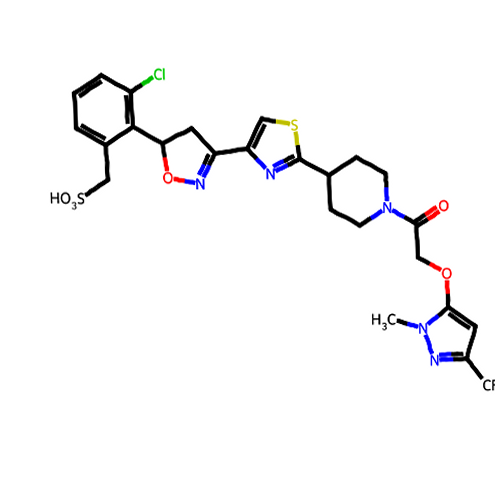 Cn1nc(C(F)(F)F)cc1OCC(=O)N1CCC(c2nc(C3=NOC(c4c(Cl)cccc4CS(=O)(=O)O)C3)cs2)CC1